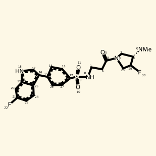 CN[C@H]1CN(C(=O)CCNS(=O)(=O)c2ccc(-c3c[nH]c4cc(F)ccc34)cc2)CC1F